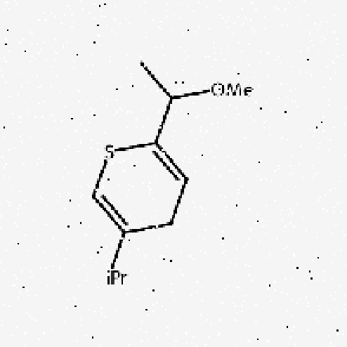 COC(C)C1=CCC(C(C)C)=CS1